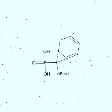 CCCCCC1(P(=O)(O)O)C2=CC=CCC21